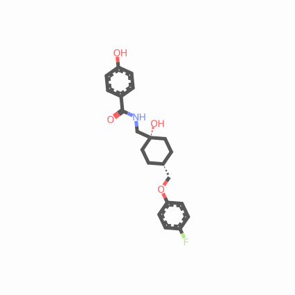 O=C(NC[C@]1(O)CC[C@@H](COc2ccc(F)cc2)CC1)c1ccc(O)cc1